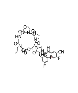 C[C@@H]1C[C@H]2C(=O)O[C@@H](C)[C@H](NC(=O)[C@H](Cc3cc(F)cc(F)c3)NC(=O)Nc3ccc(F)c(C#N)c3)C(=O)N3CCC[C@H]3C(=O)N3CCOC[C@H]3C(=O)N[C@@H](C)C(=O)N2C1